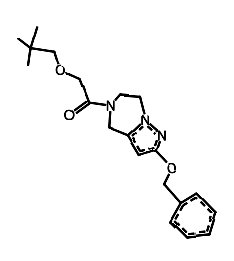 CC(C)(C)COCC(=O)N1CCn2nc(OCc3ccccc3)cc2C1